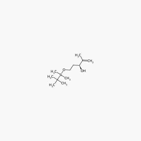 C=C(C)[C@@H](O)CCO[Si](C)(C)C(C)(C)C